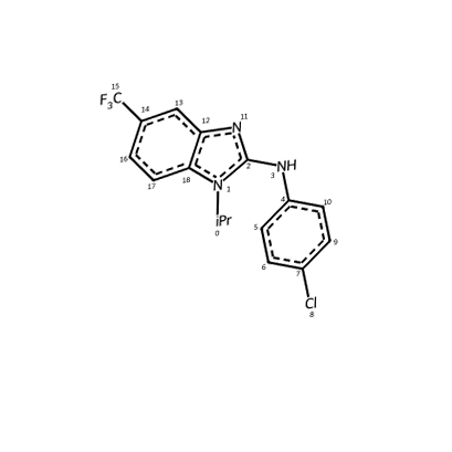 CC(C)n1c(Nc2ccc(Cl)cc2)nc2cc(C(F)(F)F)ccc21